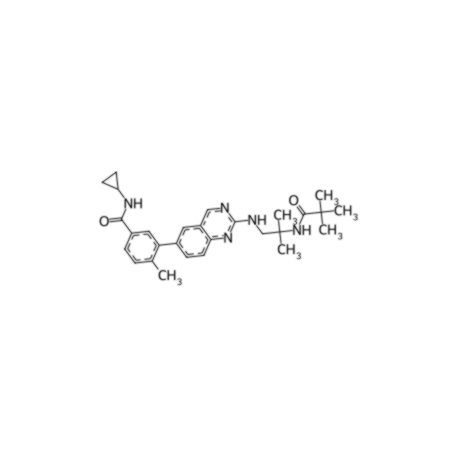 Cc1ccc(C(=O)NC2CC2)cc1-c1ccc2nc(NCC(C)(C)NC(=O)C(C)(C)C)ncc2c1